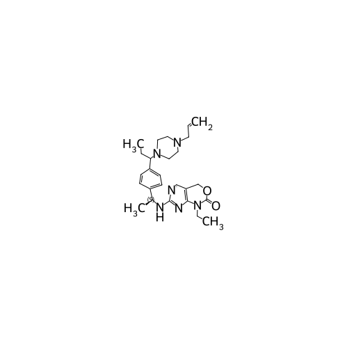 C=CCN1CCN(C(CC)c2ccc([C@H](C)Nc3ncc4c(n3)N(CC)C(=O)OC4)cc2)CC1